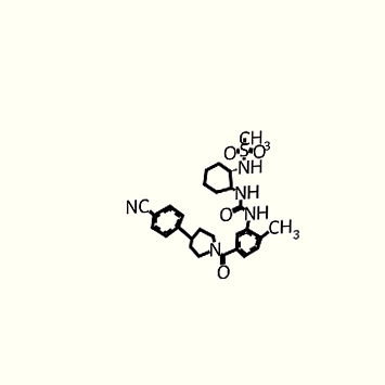 Cc1ccc(C(=O)N2CCC(c3ccc(C#N)cc3)CC2)cc1NC(=O)N[C@H]1CCCC[C@@H]1NS(C)(=O)=O